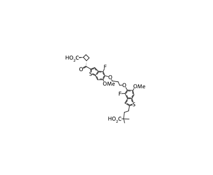 COc1cc2sc(CCC(C)(C)C(=O)O)cc2c(F)c1OCCCOc1c(OC)cc2sc(C(=O)[C@H]3CC[C@@H]3C(=O)O)cc2c1F